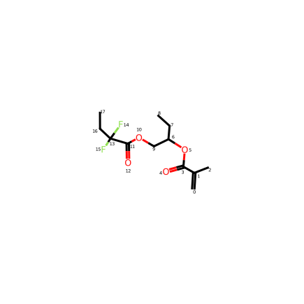 C=C(C)C(=O)OC(CC)COC(=O)C(F)(F)CC